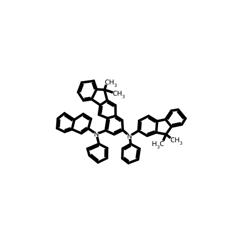 CC1(C)c2ccccc2-c2ccc(N(c3ccccc3)c3cc(N(c4ccccc4)c4ccc5ccccc5c4)c4cc5c(cc4c3)C(C)(C)c3ccccc3-5)cc21